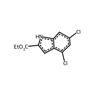 CCOC(=O)c1cc2c(Cl)cc(Cl)cc2[nH]1